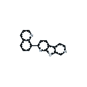 c1cnc2c(-c3ccc4c(n3)oc3cnccc34)cccc2c1